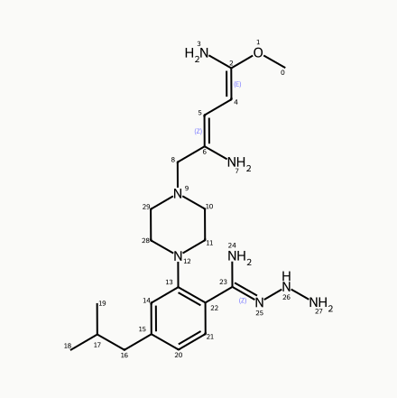 CO/C(N)=C/C=C(\N)CN1CCN(c2cc(CC(C)C)ccc2/C(N)=N/NN)CC1